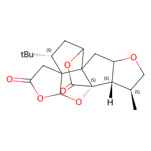 C[C@@H]1COC2CC34C5C[C@@H](C(C)(C)C)C36CC(=O)OC6O[C@@]4(C(=O)O5)[C@H]21